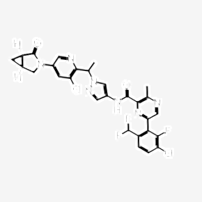 Cc1ncc(-c2c(C(F)F)ccc(Cl)c2F)nc1C(=O)Nc1cnn(C(C)c2ncc(N3C[C@H]4C[C@H]4C3=O)cc2Cl)c1